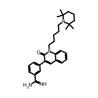 CC1(C)CCCC(C)(C)N1CCCCCn1c(=O)c(-c2cccc(C(=N)N)c2)cc2ccccc21